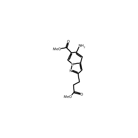 COC(=O)CCc1cc2cc(N)c(C(=O)OC)cn2n1